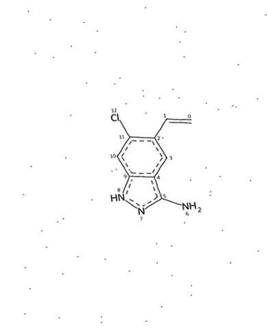 C=Cc1cc2c(N)n[nH]c2cc1Cl